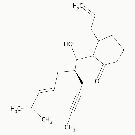 C=CCC1CCCC(=O)C1C(O)[C@@H](CC#CC)C/C=C/C(C)C